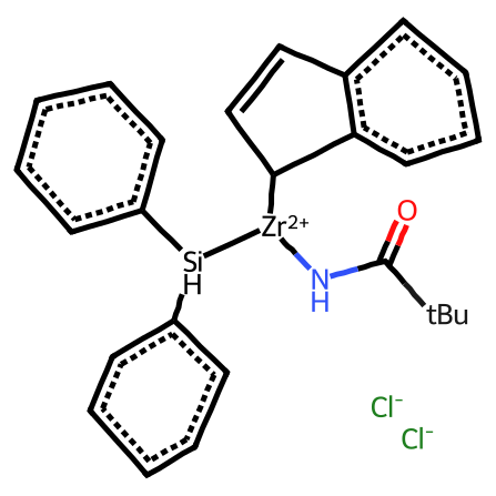 CC(C)(C)C(=O)[NH][Zr+2]([CH]1C=Cc2ccccc21)[SiH](c1ccccc1)c1ccccc1.[Cl-].[Cl-]